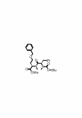 COC(=O)[C@@H](CCOCc1ccccc1)N(C)C(=O)[C@@H](CC(C)C)N(C)C(=O)OC(C)(C)C